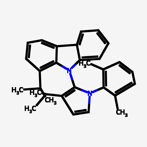 Cc1cccc(C)c1-n1ccc(C(C)C)c1-n1c2ccccc2c2cccc(C(C)C)c21